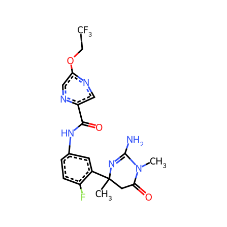 CN1C(=O)CC(C)(c2cc(NC(=O)c3cnc(OCC(F)(F)F)cn3)ccc2F)N=C1N